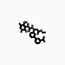 CCOC(=O)CC(NC(=O)Nc1c(O)c(C)cn(C)c1=O)c1cccc(-c2cccc(C(C)=O)c2)c1